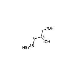 OCC(O)CSS